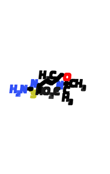 CC1(/C=C/c2csc(N)n2)COC(C)(C)N1C(=O)O